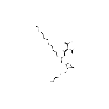 CCCCCCCCCCC[C@@H](CC(C)=C(C(N)=O)C(=O)O)C[C@@H]1OC(=O)[C@H]1CCCCCC